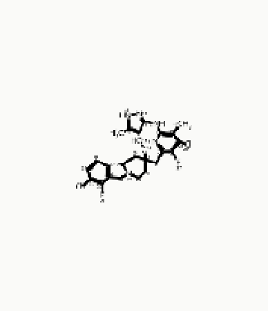 Cc1cc(Nc2nc(CC3(CO)CCN(Cc4cccc(Cl)c4F)CC3)c(F)c(Cl)c2C)n[nH]1